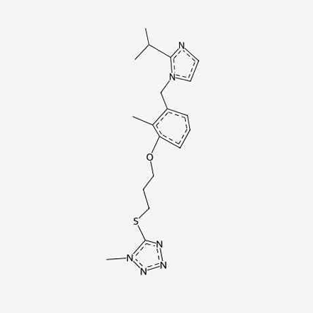 Cc1c(Cn2ccnc2C(C)C)cccc1OCCCSc1nnnn1C